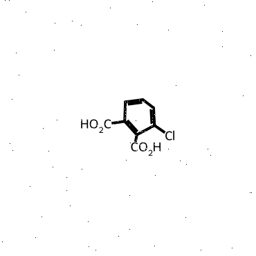 O=C(O)c1cccc(Cl)c1C(=O)O